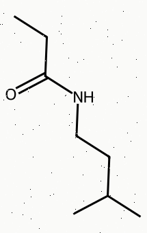 CCC(=O)NCCC(C)C